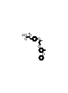 CO[C@@H](Cc1ccc(O[C@@H](C)CCOc2ccc(Oc3ccccc3)c(C)c2)cc1)C(=O)O